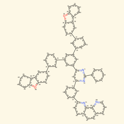 c1ccc(-c2nc(-c3cc(-c4cccc(-c5ccc6oc7ccccc7c6c5)c4)cc(-c4cccc(-c5ccc6oc7ccccc7c6c5)c4)c3)cc(-c3cccc(-c4ccc5ccc6cccnc6c5n4)c3)n2)cc1